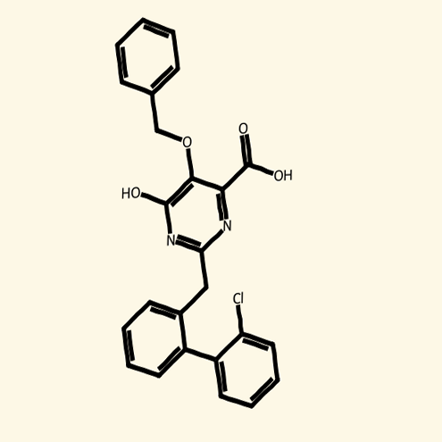 O=C(O)c1nc(Cc2ccccc2-c2ccccc2Cl)nc(O)c1OCc1ccccc1